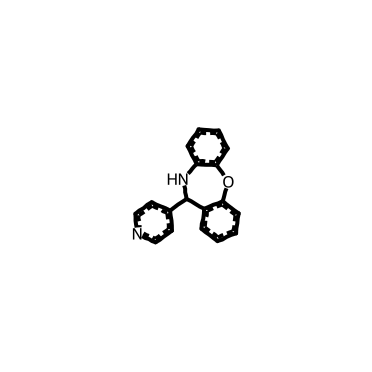 c1ccc2c(c1)NC(c1ccncc1)c1ccccc1O2